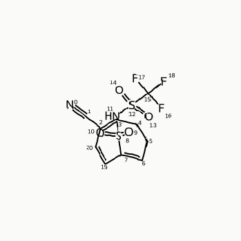 N#CC1=C/CC/C=C(S(=O)(=O)NS(=O)(=O)C(F)(F)F)/C=C\1